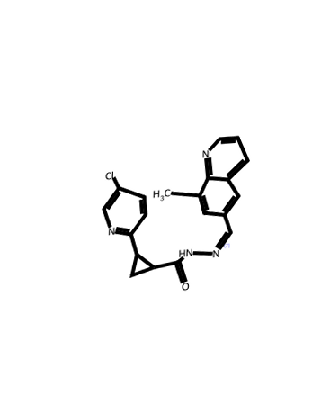 Cc1cc(/C=N\NC(=O)C2CC2c2ccc(Cl)cn2)cc2cccnc12